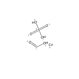 O=CO.O=S(=O)(O)O.[Cu]